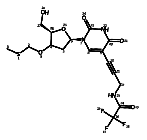 CSCOC1C[C@H](n2cc(C#CCNC(=O)C(F)(F)F)c(=O)[nH]c2=O)O[C@@H]1CO